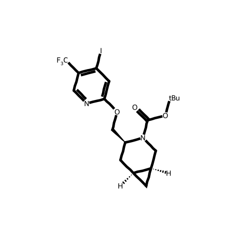 CC(C)(C)OC(=O)N1C[C@H]2C[C@H]2C[C@H]1COc1cc(I)c(C(F)(F)F)cn1